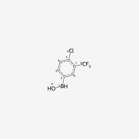 OBc1ccc(Cl)c(C(F)(F)F)c1